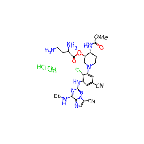 CCNc1nc(Nc2cc(C#N)cc(N3CC[C@@H](NC(=O)OC)[C@H](OC(=O)C(N)CCN)C3)c2Cl)nn2c(C#N)cnc12.Cl.Cl